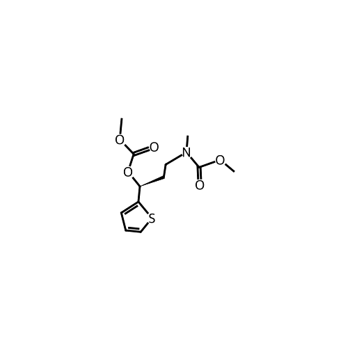 COC(=O)O[C@@H](CCN(C)C(=O)OC)c1cccs1